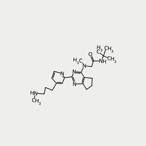 CNCCCc1ccnc(-c2nc3c(c(N(C)CC(=O)NC(C)(C)C)n2)CCC3)c1